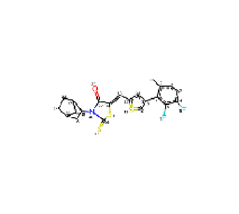 Cc1ccc(F)c(F)c1-c1csc(/C=C2\SC(=S)N(C3CC4CCC3C4)C2=O)c1